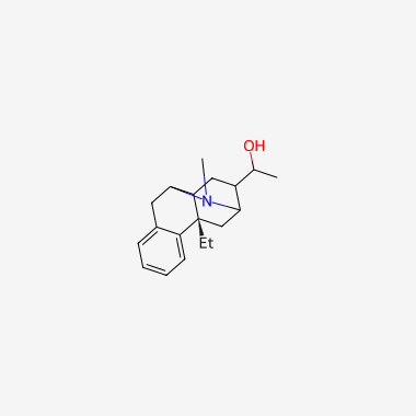 CC[C@]12CC3C(C(C)O)CC1C(Cc1ccccc12)N3C